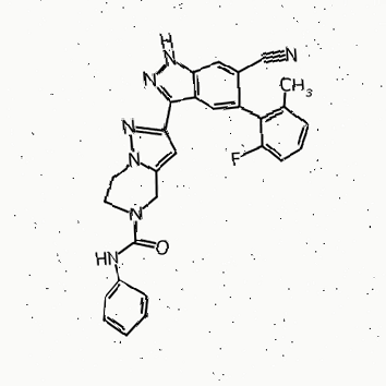 Cc1cccc(F)c1-c1cc2c(-c3cc4n(n3)CCN(C(=O)Nc3ccccc3)C4)n[nH]c2cc1C#N